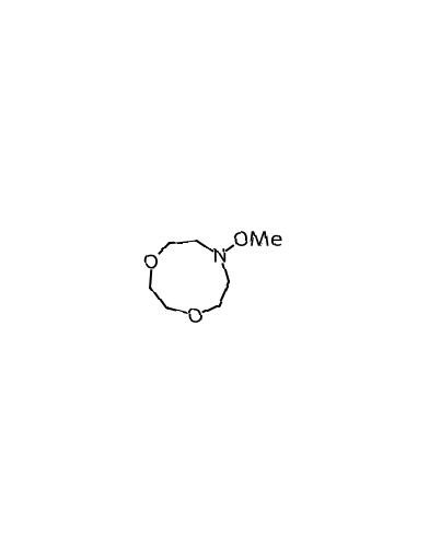 CON1CCOCCOCC1